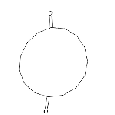 O=C1CCCCCCCC(=O)CCCCCC1